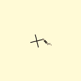 CC(C)(C)N=[PH3]